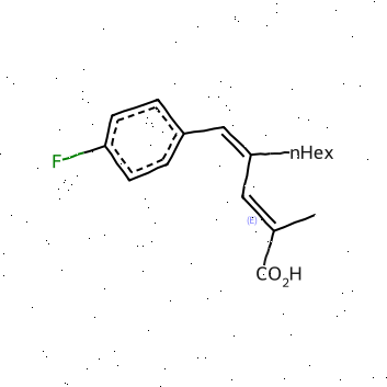 CCCCCCC(=Cc1ccc(F)cc1)/C=C(\C)C(=O)O